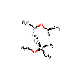 C[SiH2]O[SiH](C)C.C[Si](C)(C)O[SiH3]